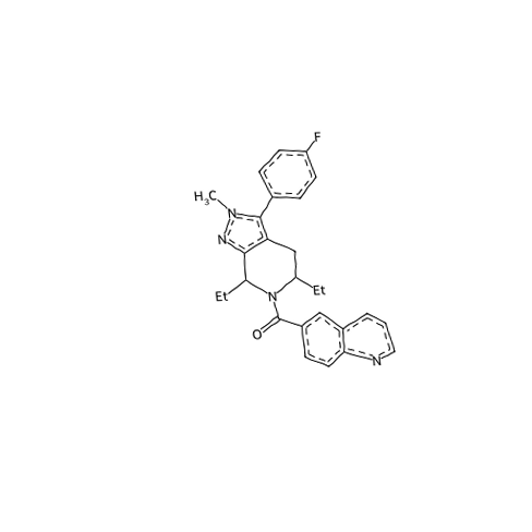 CCC1Cc2c(nn(C)c2-c2ccc(F)cc2)C(CC)N1C(=O)c1ccc2ncccc2c1